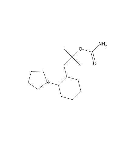 CC(C)(CC1CCCCC1N1CCCC1)OC(N)=O